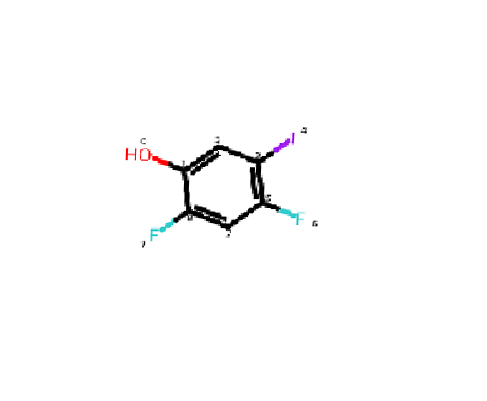 Oc1cc(I)c(F)cc1F